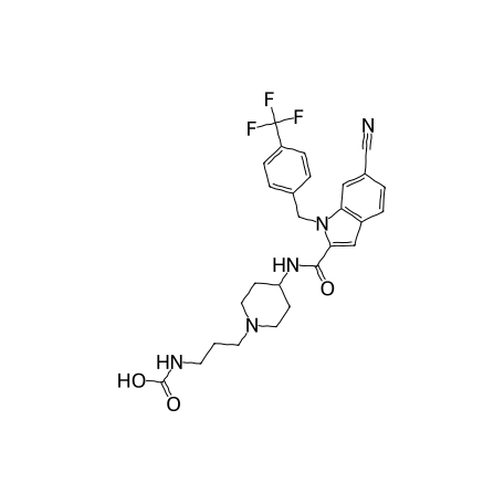 N#Cc1ccc2cc(C(=O)NC3CCN(CCCNC(=O)O)CC3)n(Cc3ccc(C(F)(F)F)cc3)c2c1